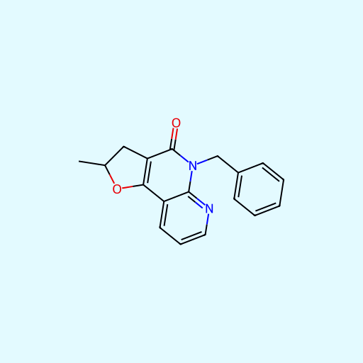 CC1Cc2c(c3cccnc3n(Cc3ccccc3)c2=O)O1